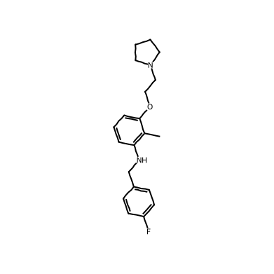 Cc1c(NCc2ccc(F)cc2)cccc1OCCN1CCCC1